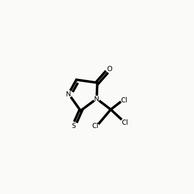 O=C1C=NC(=S)N1C(Cl)(Cl)Cl